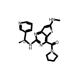 CNc1cc2nc(N[C@@H](C)c3cccnc3)nc(C(=O)N3CCCC3)c2s1